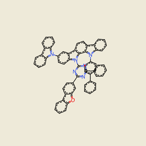 c1ccc(-c2ccc(-n3c4ccccc4c4ccc5c6cc(-n7c8ccccc8c8ccccc87)ccc6n(-c6nc(-c7ccccc7)nc(-c7ccc8c(c7)oc7ccccc78)n6)c5c43)cc2)cc1